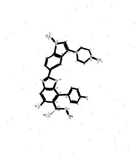 Cc1cc2nc(-c3ccc4c(c3)c(N3CCN(C)CC3)cn4C)sc2c(-c2ccc(Cl)cc2)c1[C@H](OC(C)(C)C)C(=O)O